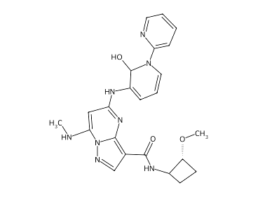 CNc1cc(NC2=CC=CN(c3ccccn3)C2O)nc2c(C(=O)NC3CC[C@H]3OC)cnn12